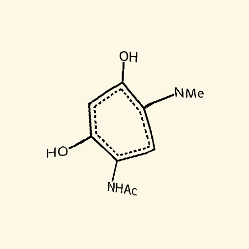 CNc1cc(NC(C)=O)c(O)cc1O